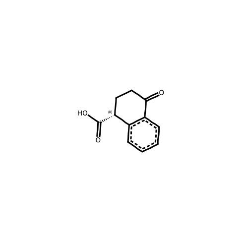 O=C1CC[C@@H](C(=O)O)c2ccccc21